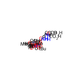 CO[C@H]1C[C@H]2OC[C@@]2(OC(C)=O)[C@H]2[C@H](OC(=O)C3C=CC=CC3)C[C@H](OC(=O)[C@H](OC(=O)CCC(=O)Nc3ccc(C[C@H](NC(=O)N[C@@H](CCC(=O)O)C(=O)O)C(=O)O)cc3)[C@@H](NC(=O)OC(C)(C)C)c3ccccc3)/C(C)=C(\C(C)(C)O)[C@@H](OC)C(=O)[C@]12C